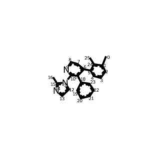 Cc1cccc(-c2ccnc(-n3ccnc3C)c2-c2ccccc2)c1C